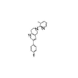 Cc1cccnc1N1CCc2ncc(-c3ccc(F)cc3)cc2C1